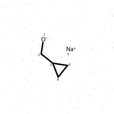 [Na+].[O-]CC1CC1